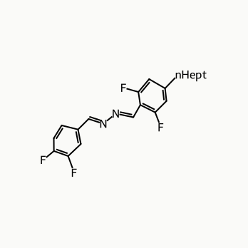 CCCCCCCc1cc(F)c(/C=N/N=C/c2ccc(F)c(F)c2)c(F)c1